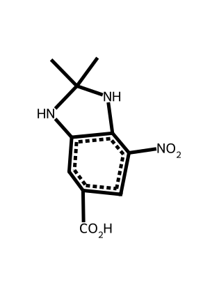 CC1(C)Nc2cc(C(=O)O)cc([N+](=O)[O-])c2N1